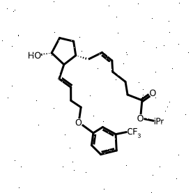 CC(C)OC(=O)CCC/C=C\C[C@H]1CC[C@@H](O)C1/C=C/CCOc1cccc(C(F)(F)F)c1